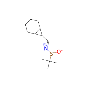 CC(C)(C)[S+]([O-])/N=C/C1C2CCCCC12